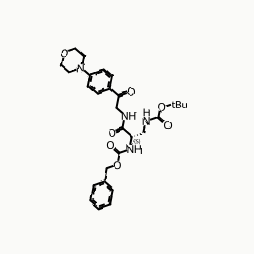 CC(C)(C)OC(=O)NC[C@H](NC(=O)OCc1ccccc1)C(=O)NCC(=O)c1ccc(N2CCOCC2)cc1